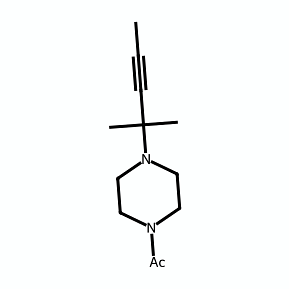 CC#CC(C)(C)N1CCN(C(C)=O)CC1